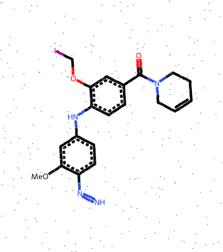 COc1cc(Nc2ccc(C(=O)N3CC=CCC3)cc2OCI)ccc1N=N